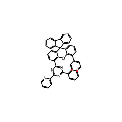 c1ccc(-c2nc(-c3ccccn3)nc(-c3cccc4c3Oc3c(-c5ccncc5)cccc3C43c4ccccc4-c4ccccc43)n2)cc1